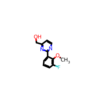 COc1c(F)cccc1-c1nccc(CO)n1